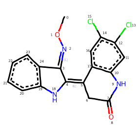 CO/N=C1/C(=C2/CC(=O)Nc3cc(Cl)c(Cl)cc32)Nc2ccccc21